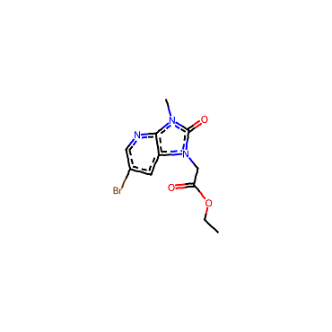 CCOC(=O)Cn1c(=O)n(C)c2ncc(Br)cc21